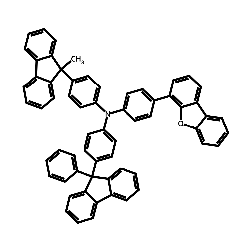 CC1(c2ccc(N(c3ccc(-c4cccc5c4oc4ccccc45)cc3)c3ccc(C4(c5ccccc5)c5ccccc5-c5ccccc54)cc3)cc2)c2ccccc2-c2ccccc21